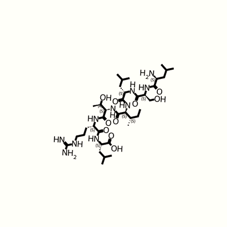 CC[C@H](C)[C@H](NC(=O)[C@H](CC(C)C)NC(=O)[C@H](CO)NC(=O)[C@@H](N)CC(C)C)C(=O)N[C@H](C(=O)N[C@@H](CCCNC(=N)N)C(=O)N[C@@H](CC(C)C)C(=O)O)[C@@H](C)O